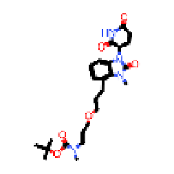 CN(CCCOCCCc1cccc2c1n(C)c(=O)n2C1CCC(=O)NC1=O)C(=O)OC(C)(C)C